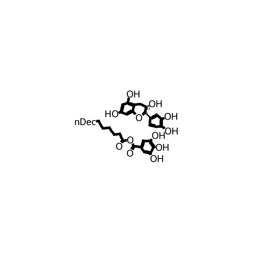 CCCCCCCCCCCCCCCC(=O)OC(=O)c1cc(O)c(O)c(O)c1.Oc1cc(O)c2c(c1)O[C@H](c1ccc(O)c(O)c1)[C@@H](O)C2